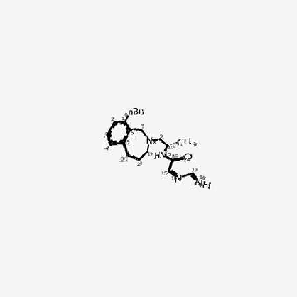 CCCCc1cccc2c1CN(C[C@H](C)NC(=O)/C=N\C=N)CCC2